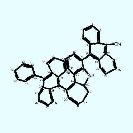 N#Cc1c2ccccc2c(-c2cccc3c2SC2CCC=CC(c4c5ccccc5c(-c5ccccc5)c5ccccc45)=C32)c2ccccc12